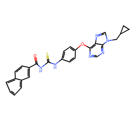 O=C(NC(=S)Nc1ccc(Oc2ncnc3c2ncn3CC2CC2)cc1)c1ccc2ccccc2c1